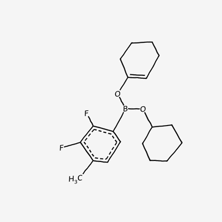 Cc1ccc(B(OC2=CCCCC2)OC2CCCCC2)c(F)c1F